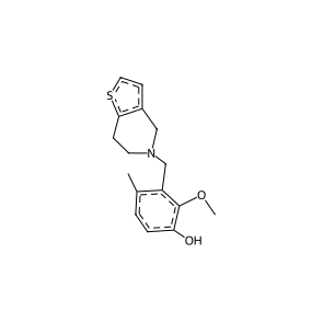 COc1c(O)ccc(C)c1CN1CCc2sccc2C1